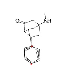 CNC12CC(=O)C(C(c3ccccc3)C1)C(c1ccccc1)C2